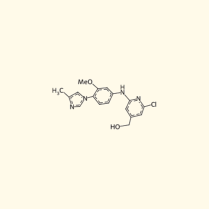 COc1cc(Nc2cc(CO)cc(Cl)n2)ccc1-n1cnc(C)c1